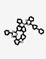 c1ccc(-c2ccc(-c3nc(N4c5ccccc5Sc5cc(-c6ccc7oc8cccc(-c9nc(-c%10ccccc%10)nc(-c%10ccccc%10)n9)c8c7c6)ccc54)nc4ccccc34)cc2)cc1